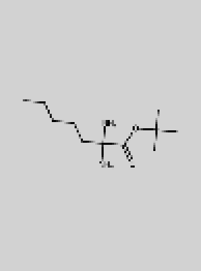 CCCCCC(N)(N)C(=O)OC(C)(C)C